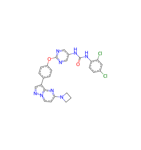 O=C(Nc1cnc(Oc2ccc(-c3cnn4ccc(N5CCC5)nc34)cc2)nc1)Nc1ccc(Cl)cc1Cl